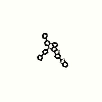 c1ccc(-c2ccc(N(c3ccc(-c4ccccc4)cc3)c3cc4c5ccc(-c6nc7ccccc7o6)cc5oc4c4ccccc34)cc2)cc1